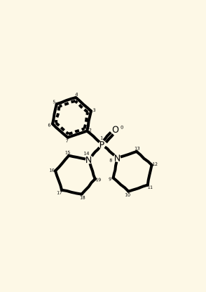 O=P(c1ccccc1)(N1CCCCC1)N1CCCCC1